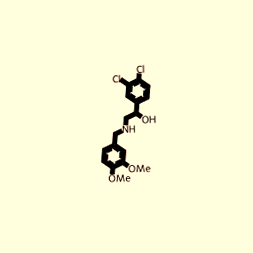 COc1ccc(CNCC(O)c2ccc(Cl)c(Cl)c2)cc1OC